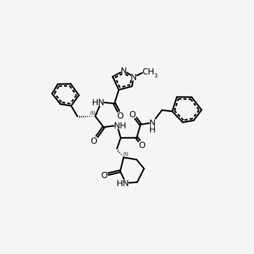 Cn1cc(C(=O)N[C@@H](Cc2ccccc2)C(=O)NC(C[C@@H]2CCCNC2=O)C(=O)C(=O)NCc2ccccc2)cn1